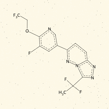 CC(F)(F)c1nnc2ccc(-c3cnc(OCC(F)(F)F)c(F)c3)nn12